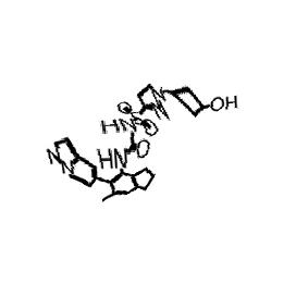 Cc1cc2c(c(NC(=O)NS(=O)(=O)c3ccn(C4CC(O)C4)n3)c1-c1ccn3nccc3c1)CCC2